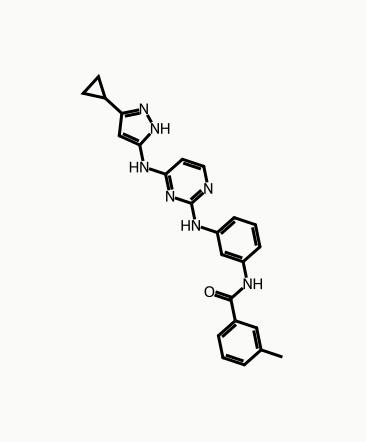 Cc1cccc(C(=O)Nc2cccc(Nc3nccc(Nc4cc(C5CC5)n[nH]4)n3)c2)c1